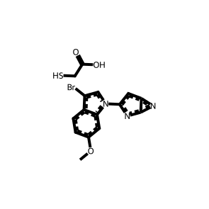 COc1ccc2c(Br)cn(-c3cc4nc-4n3)c2c1.O=C(O)CS